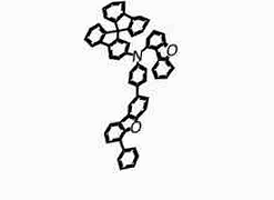 c1ccc(-c2cccc3c2oc2ccc(-c4ccc(N(c5ccc6c(c5)C5(c7ccccc7-c7ccccc75)c5ccccc5-6)c5cccc6oc7ccccc7c56)cc4)cc23)cc1